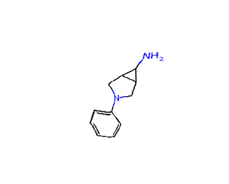 NC1C2CN(c3ccccc3)CC12